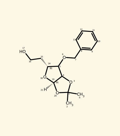 CC1(C)OC2C(OCc3ccccc3)[C@@H](CCO)O[C@@H]2O1